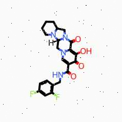 O=C(NCc1ccc(F)cc1F)c1cn2c(c(O)c1=O)C(=O)N1CC3CCCCN3[C@H]1C2